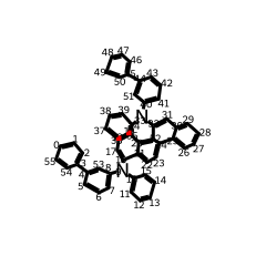 c1ccc(-c2cccc(N(c3ccccc3)c3cccc4c3ccc3c5ccccc5cc(N(c5ccccc5)c5cccc(-c6ccccc6)c5)c43)c2)cc1